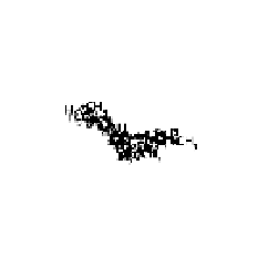 COC(=O)c1ccc(N(CC#Cc2cc3c(NC4CCN(C(=O)OC(C)(C)C)CC4)cccc3n2CC(F)(F)F)C(=O)OC(C)(C)C)cc1